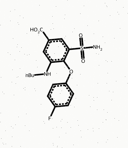 CCCCNc1cc(C(=O)O)cc(S(N)(=O)=O)c1Oc1ccc(F)cc1